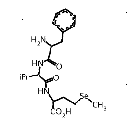 C[Se]CCC(NC(=O)C(NC(=O)C(N)Cc1ccccc1)C(C)C)C(=O)O